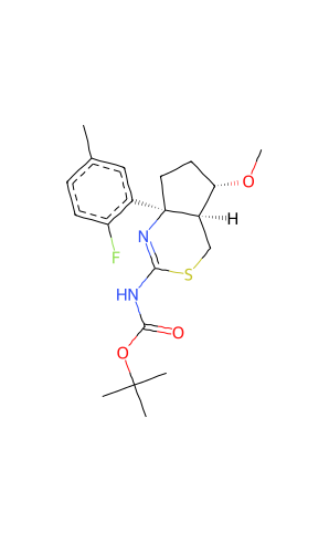 CO[C@H]1CC[C@]2(c3cc(C)ccc3F)N=C(NC(=O)OC(C)(C)C)SC[C@H]12